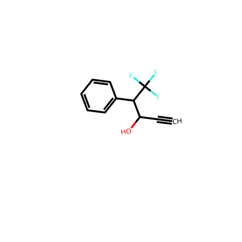 C#CC(O)C(c1ccccc1)C(F)(F)F